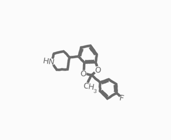 CC1(c2ccc(F)cc2)Oc2cccc(C3CCNCC3)c2O1